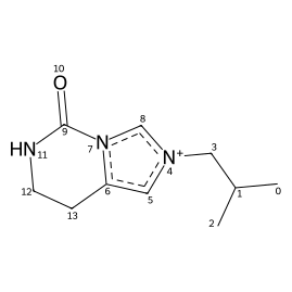 CC(C)C[n+]1cc2n(c1)C(=O)NCC2